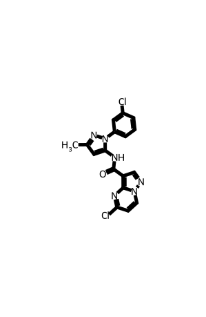 Cc1cc(NC(=O)c2cnn3ccc(Cl)nc23)n(-c2cccc(Cl)c2)n1